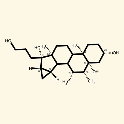 C[C@@H]1C2C3[C@@H]4C[C@@H]4[C@@](O)(CCCO)[C@@]3(C)CCC2[C@@]2(C)CC[C@H](O)C[C@@]2(O)[C@@H]1C